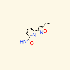 CCc1cc(-c2cccc(C(=N)OC)n2)no1